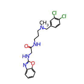 CN(CCCNC(=O)CNc1nc2ccccc2o1)Cc1ccc(Cl)c(Cl)c1